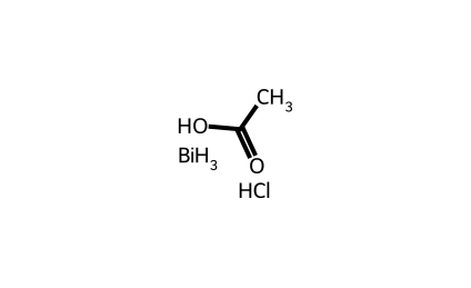 CC(=O)O.Cl.[BiH3]